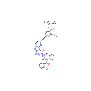 C[C@H](NC(=O)c1c(N)nn2ccc(C#Cc3cc4c(c(C(F)(F)F)c3)C(=O)N([C@@H](C)C3CC3)C4)nc12)c1cc2cccc(Cl)c2c(=O)n1-c1ccccc1